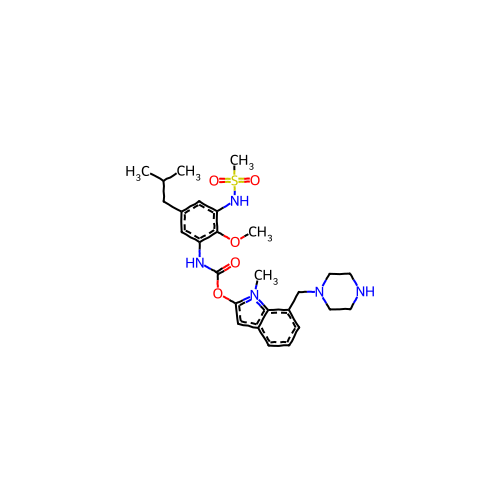 COc1c(NC(=O)Oc2cc3cccc(CN4CCNCC4)c3n2C)cc(CC(C)C)cc1NS(C)(=O)=O